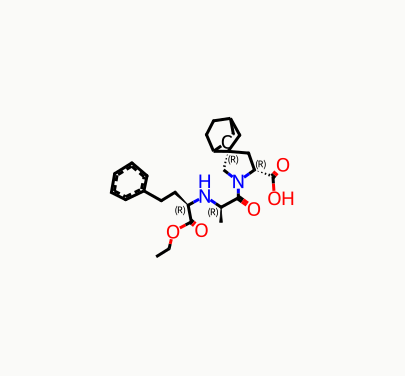 CCOC(=O)[C@@H](CCc1ccccc1)N[C@H](C)C(=O)N1C[C@]2(CC3CCC2CC3)C[C@@H]1C(=O)O